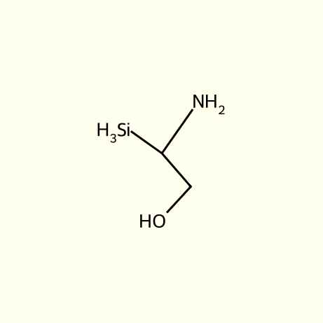 NC([SiH3])CO